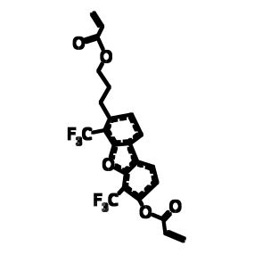 C=CC(=O)OCCCc1ccc2c(oc3c(C(F)(F)F)c(OC(=O)C=C)ccc32)c1C(F)(F)F